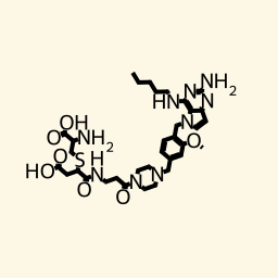 CCCCCNc1nc(N)nc2ccn(Cc3ccc(CN4CCN(C(=O)CCNC(=O)C(CC(=O)O)SCC(N)C(=O)O)CC4)cc3OC)c12